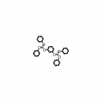 c1ccc(OP(Oc2ccccc2)Oc2cccc(OP(Oc3ccccc3)Oc3ccccc3)c2)cc1